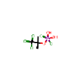 CC(C)(OP(O)(O)(Cl)Cl)C(Cl)(Cl)Cl